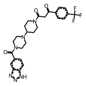 O=C(CC(=O)N1CCC(N2CCN(C(=O)c3ccc4[nH]nnc4c3)CC2)CC1)c1ccc(C(F)(F)F)cc1